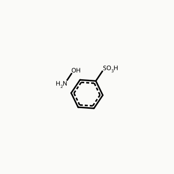 NO.O=S(=O)(O)c1ccccc1